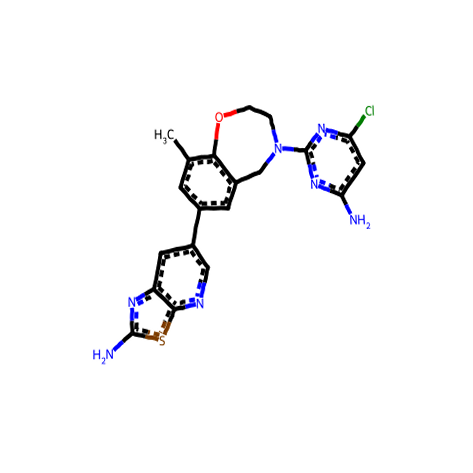 Cc1cc(-c2cnc3sc(N)nc3c2)cc2c1OCCN(c1nc(N)cc(Cl)n1)C2